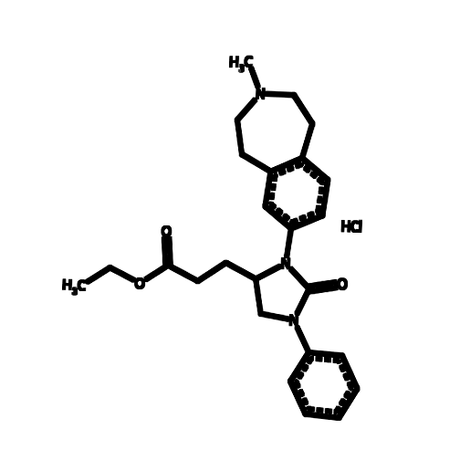 CCOC(=O)CCC1CN(c2ccccc2)C(=O)N1c1ccc2c(c1)CCN(C)CC2.Cl